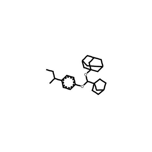 CCC(C)c1ccc(OC(OC23CC4CC(CC(C4)C2)C3)C23CCC(CC2)C3)cc1